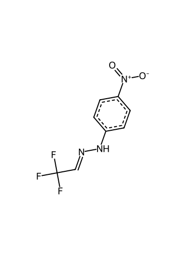 O=[N+]([O-])c1ccc(N/N=C/C(F)(F)F)cc1